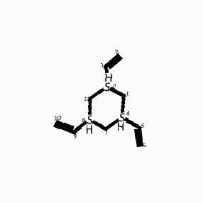 C=C[SH]1C[SH](C=C)C[SH](C=C)C1